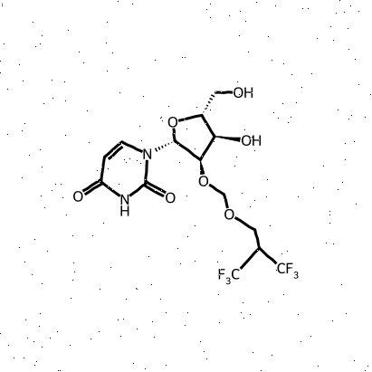 O=c1ccn([C@@H]2O[C@H](CO)[C@@H](O)[C@H]2OCOCC(C(F)(F)F)C(F)(F)F)c(=O)[nH]1